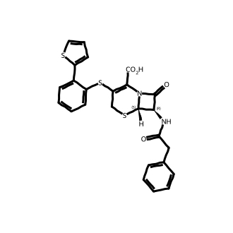 O=C(Cc1ccccc1)N[C@@H]1C(=O)N2C(C(=O)O)=C(Sc3ccccc3-c3cccs3)CS[C@@H]12